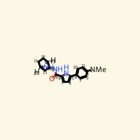 CNc1ccc(-c2ccc(C(=O)N[C@@H]3C[C@H]4CC[C@@H]3N4)[nH]2)cc1